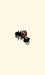 COc1ccccc1N1CCN(CCCNC(=O)c2cccc3c(=O)c(C)c(C(C)(C)C)oc23)CC1.Cl.Cl.O.O